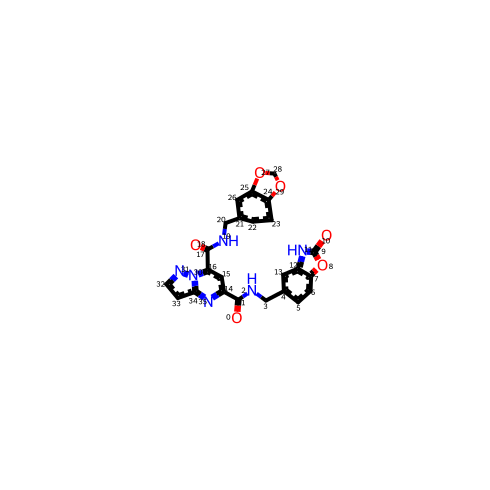 O=C(NCc1ccc2oc(=O)[nH]c2c1)c1cc(C(=O)NCc2ccc3c(c2)OCO3)n2nccc2n1